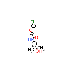 CC(C)(O)C1CCC(NC(=O)C2CC(Oc3cccc(Cl)c3)C2)CC1